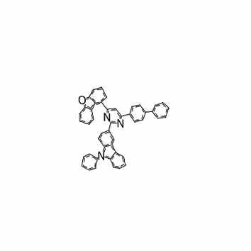 c1ccc(-c2ccc(-c3cc(-c4cccc5oc6ccccc6c45)nc(-c4ccc5c(c4)c4ccccc4n5-c4ccccc4)n3)cc2)cc1